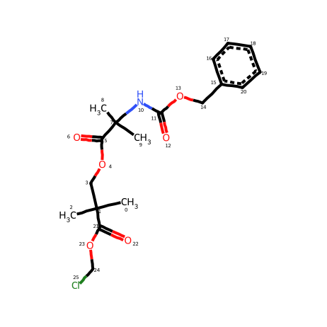 CC(C)(COC(=O)C(C)(C)NC(=O)OCc1ccccc1)C(=O)OCCl